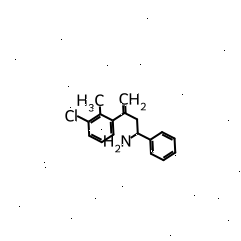 C=C(CC(N)c1ccccc1)c1cccc(Cl)c1C